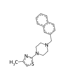 Cc1csc(N2CCN(Cc3ccc4ccccc4c3)CC2)n1